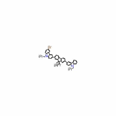 CC(C)Cn1c2ccccc2c2cc(-c3ccc4c(c3)C(CC(C)C)(CC(C)C)c3cc(-c5ccc6c(c5)c5cc(Br)ccc5n6CC(C)C)ccc3-4)ccc21